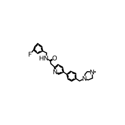 CN1CCN(Cc2ccc(-c3ccc(CC(=O)NCc4cccc(F)c4)nc3)cc2)CC1